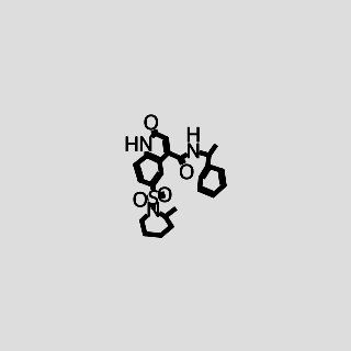 CC(NC(=O)c1cc(=O)[nH]c2ccc(S(=O)(=O)N3CCCCC3C)cc12)c1ccccc1